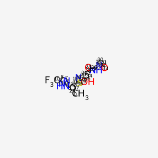 Cc1cc(Nc2nccc(C(F)(F)F)n2)cc(-c2cnc([C@]3(O)CC[C@@H](C(=O)NCCN4CCCC4=O)CC3)s2)c1